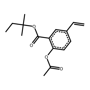 C=Cc1ccc(OC(C)=O)c(C(=O)OC(C)(C)CC)c1